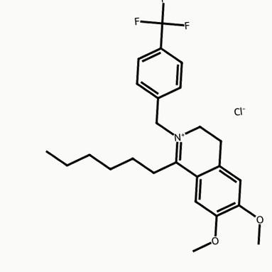 CCCCCCC1=[N+](Cc2ccc(C(F)(F)F)cc2)CCc2cc(OC)c(OC)cc21.[Cl-]